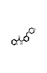 S=C(Nc1cccc(CN2CCOCC2)c1)c1ccccn1